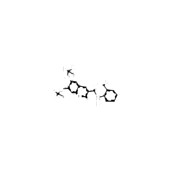 O=Cc1ccccc1NC(=O)c1cc2cc(OC(F)(F)F)c(OC(F)(F)F)cc2sc1=O